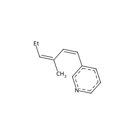 CC/C=C(C)\C=C/c1cccnc1